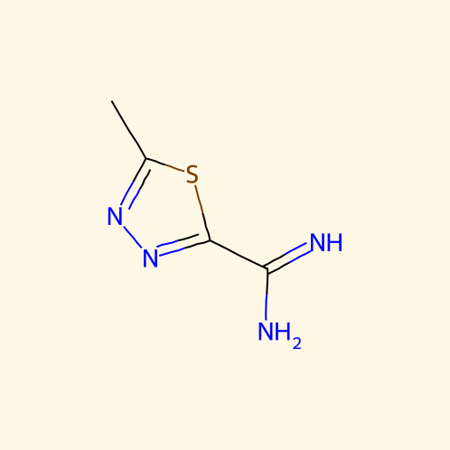 Cc1nnc(C(=N)N)s1